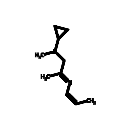 C/C=C\N=C(/C)CN(C)C1CC1